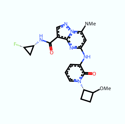 CNc1cc(Nc2cccn([C@H]3CCC3OC)c2=O)nc2c(C(=O)N[C@@H]3C[C@@H]3F)cnn12